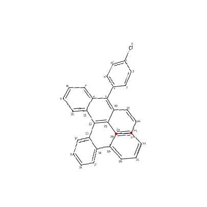 Clc1ccc(-c2c3ccccc3c(-c3ccccc3-c3ccccc3)c3ccccc23)cc1